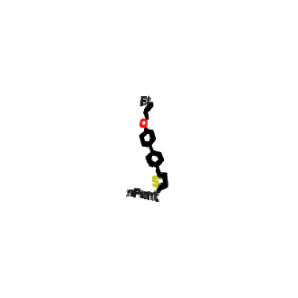 CCC=CCOc1ccc(-c2ccc(-c3ccc(CCCCC)s3)cc2)cc1